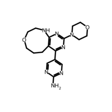 Nc1ncc(-c2nc(N3CCOCC3)nc3c2CCCOCCN3)cn1